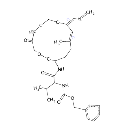 C=N/C=C1\C=C(/C)CCC(NC(=O)C(NC(=O)OCc2ccccc2)C(C)C)COCC(=O)NCCC1